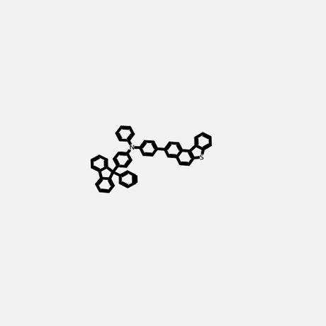 c1ccc(C2(c3ccc(N(c4ccccc4)c4ccc(-c5ccc6c(ccc7sc8ccccc8c76)c5)cc4)cc3)c3ccccc3-c3ccccc32)cc#1